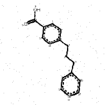 O=C(O)c1ccc(CCCc2ccncc2)cc1